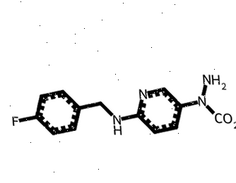 CCOC(=O)N(N)c1ccc(NCc2ccc(F)cc2)nc1